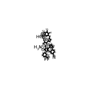 Cc1c(Cc2ccc(C(NC(=O)n3c(-c4ccnn4-c4ccc(C#N)cc4)c(C)n(-c4cccc(C(F)(F)F)c4)c3=O)C(C)C)[nH]2)cc(S(=O)(=O)O)c(C)c1C.N